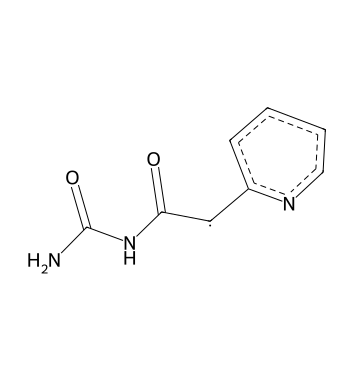 NC(=O)NC(=O)[CH]c1ccccn1